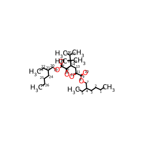 CCCCC(CC)COC(=O)C(=O)CC(C(=O)C(=O)OCC(CC)CCCC)C(C)(C)C(C)C